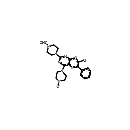 O=CN1CCN(c2nc(N3CC[S+]([O-])CC3)c3nc(-c4ccccc4)c(Cl)nc3n2)CC1